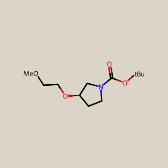 COCCO[C@@H]1CCN(C(=O)OC(C)(C)C)C1